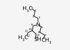 CCCCN(CCCC)CC(CC)CS